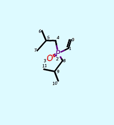 C=CP(=O)(CC(C)C)CC(C)C